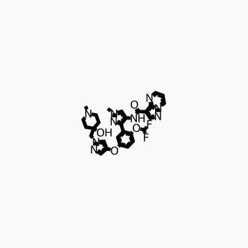 CN1CCC(O)(Cn2cc(Oc3ccc(OC(F)F)c(-c4nn(C)cc4NC(=O)c4cnn5cccnc45)c3)cn2)CC1